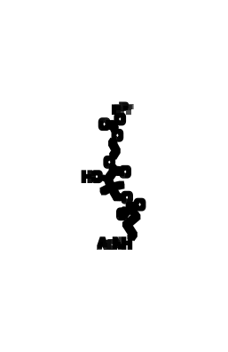 CCCOC(=O)OCCOC(=O)[C@H](O)C(C)(C)COS(=O)(=O)CCCNC(C)=O